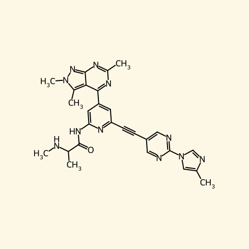 CNC(C)C(=O)Nc1cc(-c2nc(C)nc3nn(C)c(C)c23)cc(C#Cc2cnc(-n3cnc(C)c3)nc2)n1